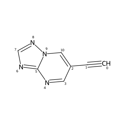 C#Cc1cnc2ncnn2c1